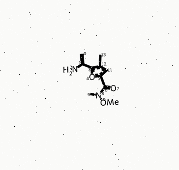 C=C(N)c1oc(C(=O)N(C)OC)cc1C